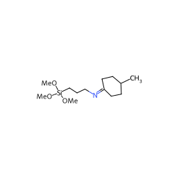 CO[Si](CCCN=C1CCC(C)CC1)(OC)OC